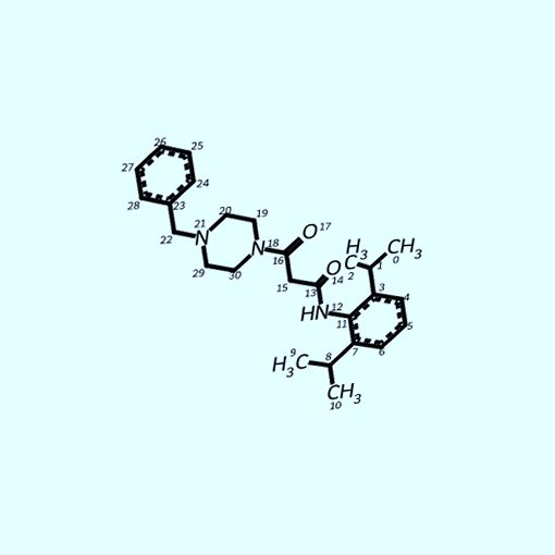 CC(C)c1cccc(C(C)C)c1NC(=O)CC(=O)N1CCN(Cc2ccccc2)CC1